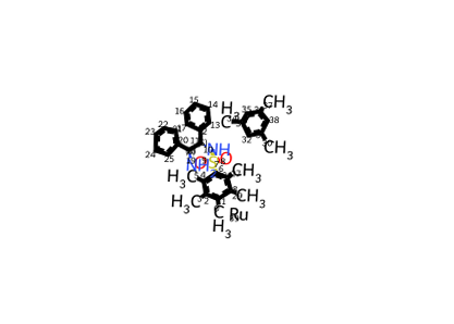 Cc1c(C)c(C)c(S(=O)(=O)N[C@@H](c2ccccc2)[C@@H](N)c2ccccc2)c(C)c1C.Cc1cc(C)cc(C)c1.[Ru]